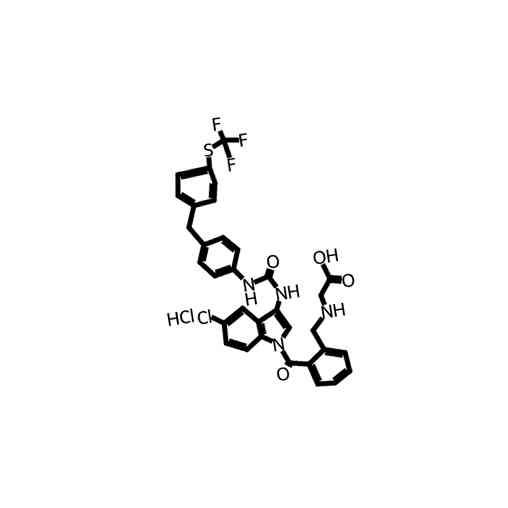 Cl.O=C(O)CNCc1ccccc1C(=O)n1cc(NC(=O)Nc2ccc(Cc3ccc(SC(F)(F)F)cc3)cc2)c2cc(Cl)ccc21